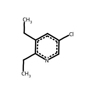 CCc1cc(Cl)cnc1CC